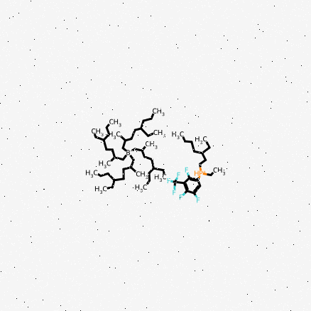 CCCC(CC)CCC(C)C[B-](CC(C)CCC(CC)CCC)(CC(C)CCC(CC)CCC)CC(C)CCC(CC)CCC.CCCCC(CC)CC[PH+](CC)c1cc(F)c(F)c(C(F)(F)F)c1F